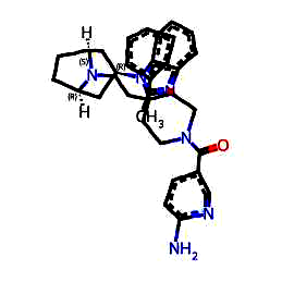 Cc1nc2ccccc2n1[C@H]1C[C@H]2CC[C@@H](C1)N2CCC1(c2ccccc2)CCN(C(=O)c2ccc(N)nc2)CC1